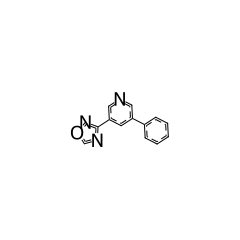 c1ccc(-c2cncc(-c3ncon3)c2)cc1